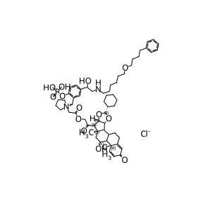 C[C@]12C=CC(=O)C=C1CCC1C2[C@@H](O)C[C@@]2(C)C1C1O[C@@H](C3CCCCC3)O[C@H]1[C@@H]2C(=O)COC(=O)C[N+]1(Cc2cc(C(O)CNCCCCCCOCCCCc3ccccc3)ccc2OP(=O)(O)O)CCCC1.[Cl-]